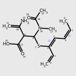 C=C/C(=C\C=C/C)SC(C(C(=C)N)C(=O)O)N(C)C(C)=O